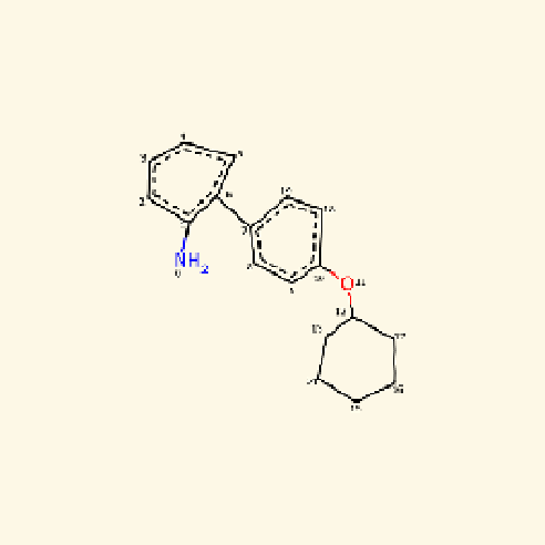 Nc1ccccc1-c1ccc(OC2CCCCC2)cc1